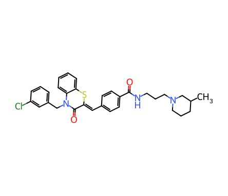 CC1CCCN(CCCNC(=O)c2ccc(C=C3Sc4ccccc4N(Cc4cccc(Cl)c4)C3=O)cc2)C1